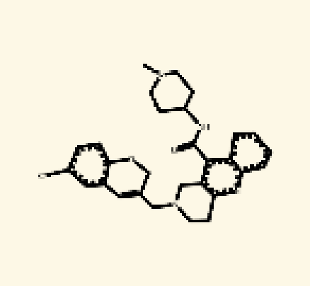 CN1CCC(NC(=O)c2c3c(nc4ccccc24)CCN(CC2=Cc4cc(Cl)ccc4OC2)C3)CC1